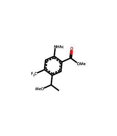 COC(=O)c1cc(C(C)OC)c(C(F)(F)F)cc1NC(C)=O